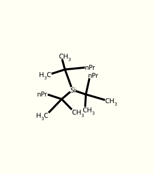 CCCC(C)(C)[Si](C(C)(C)CCC)C(C)(C)CCC